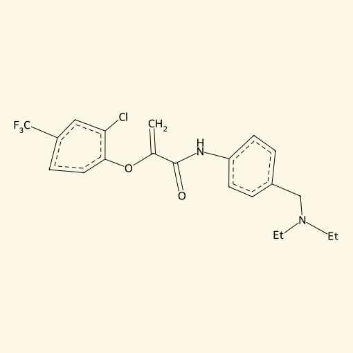 C=C(Oc1ccc(C(F)(F)F)cc1Cl)C(=O)Nc1ccc(CN(CC)CC)cc1